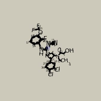 CCN(C(=O)CO)C1CN(/C(=N\C#N)Nc2cccc(OC(F)F)c2F)N=C1c1ccc(Cl)c(Cl)c1